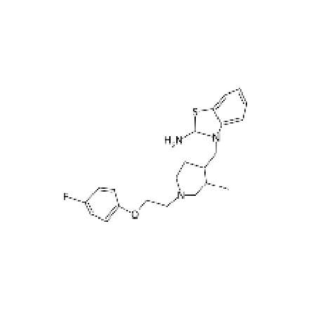 CC1CN(CCOc2ccc(F)cc2)CCC1CN1c2ccccc2SC1N